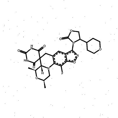 C[C@@H]1CN2c3c(cc4c(N5C(=O)OCC5C5CCOCC5)noc4c3F)CC3(C(=O)NC(=O)NC3=O)[C@H]2[C@H](C)O1